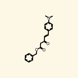 CN(C)c1ccc(C=CC(=O)CC(=O)OCc2ccccc2)cc1